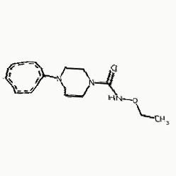 CCONC(=O)N1CCN(c2cc[c]cc2)CC1